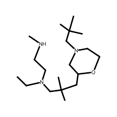 CCN(CCNC)CC(C)(C)CC1CN(CC(C)(C)C)CCO1